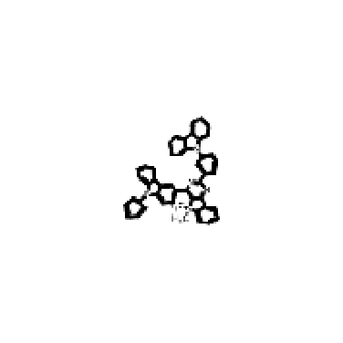 C[Si]1(C)c2ccccc2-c2nc(-c3cccc(-n4c5ccccc5c5ccccc54)c3)nc(-c3ccc4c(c3)c3ccccc3n4-c3ccccc3)c21